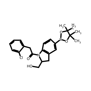 CC1(C)OB(c2ccc3c(c2)CC(CO)N3C(=O)Cc2ccccc2Cl)OC1(C)C